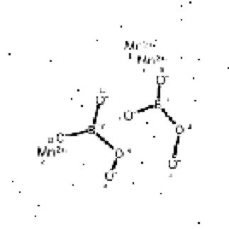 [Mn+2].[Mn+2].[Mn+2].[O-]OB([O-])[O-].[O-]OB([O-])[O-]